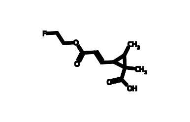 CC1C(C=CC(=O)OCCF)C1(C)C(=O)O